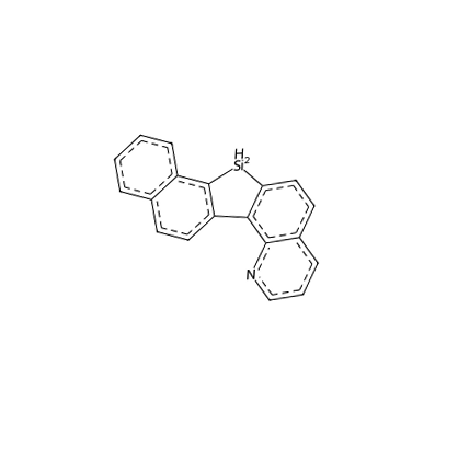 c1ccc2c3c(ccc2c1)-c1c(ccc2cccnc12)[SiH2]3